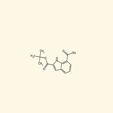 CC(C)(C)OC(=O)c1cc2cccc(C(=O)O)c2[nH]1